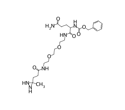 CC1(CCC(=O)NCCOCCOCCNC(=O)C(CCC(N)=O)NC(=O)OCc2ccccc2)NN1